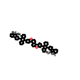 CC1(C)c2ccccc2-c2ccc(-c3c4ccccc4c(-c4ccc5c(c4)oc4ccc6c(ccc7oc8cc(-c9c%10ccccc%10c(-c%10ccc%11c(c%10)C(C)(C)c%10ccccc%10-%11)c%10ccccc9%10)ccc8c76)c45)c4ccccc34)cc21